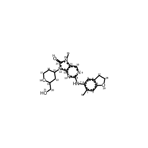 Cc1cc2c(cc1Nc1ncc3c(n1)n(C1CCOC(CO)C1)c(=O)n3C)CCO2